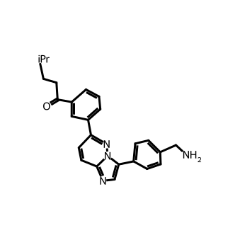 CC(C)CCC(=O)c1cccc(-c2ccc3ncc(-c4ccc(CN)cc4)n3n2)c1